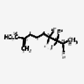 C=C(CCCC(F)(F)C(F)(F)C(C)F)C(=O)O